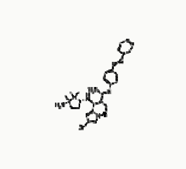 CC1(C)[C@H](Nc2c(/C(N)=N/c3ccc(/N=N/c4ccccc4)cc3)cnn3cc(Br)cc23)CC[C@]1(C)N